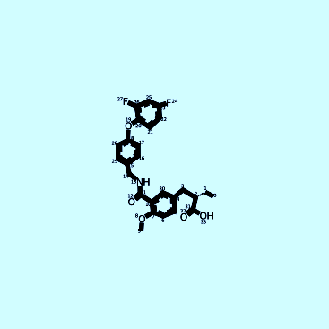 CC[C@@H](Cc1ccc(OC)c(C(=O)NCc2ccc(Oc3ccc(F)cc3F)cc2)c1)C(=O)O